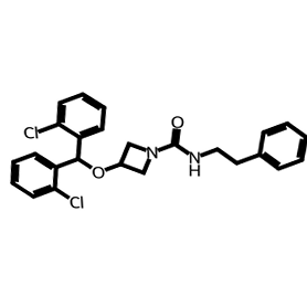 O=C(NCCc1ccccc1)N1CC(OC(c2ccccc2Cl)c2ccccc2Cl)C1